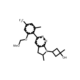 COCOc1cc(C(F)(F)F)cc(C)c1-c1cc2c(nn1)N(C1CC(C)(O)C1)C(C)C2